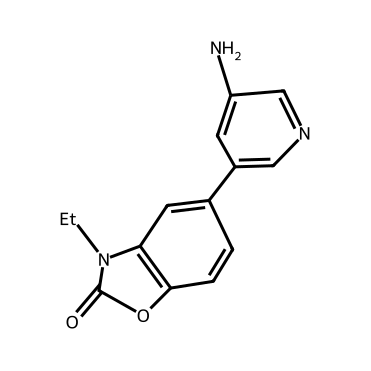 CCn1c(=O)oc2ccc(-c3cncc(N)c3)cc21